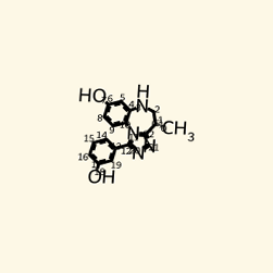 C[C@H]1CNc2cc(O)ccc2-n2c(-c3cccc(O)c3)nnc21